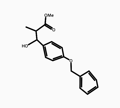 COC(=O)C(C)C(O)c1ccc(OCc2ccccc2)cc1